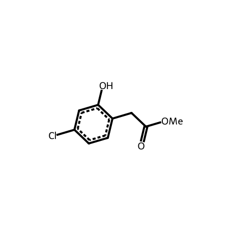 COC(=O)Cc1ccc(Cl)cc1O